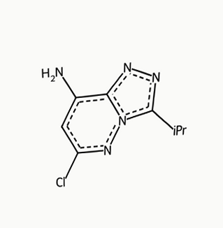 CC(C)c1nnc2c(N)cc(Cl)nn12